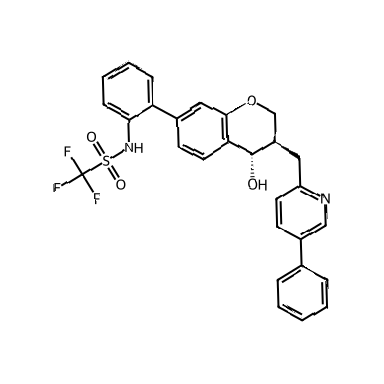 O=S(=O)(Nc1ccccc1-c1ccc2c(c1)OC[C@@H](Cc1ccc(-c3ccccc3)cn1)[C@@H]2O)C(F)(F)F